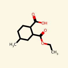 CCOC(=O)C1CC(C)CCC1C(=O)O